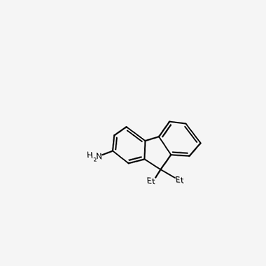 CCC1(CC)c2ccccc2-c2ccc(N)cc21